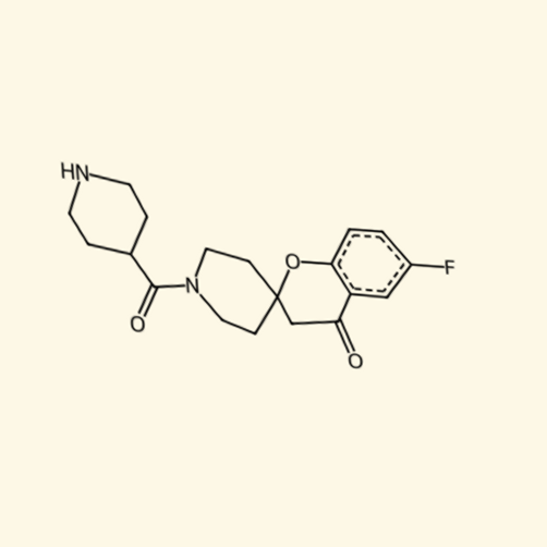 O=C1CC2(CCN(C(=O)C3CCNCC3)CC2)Oc2ccc(F)cc21